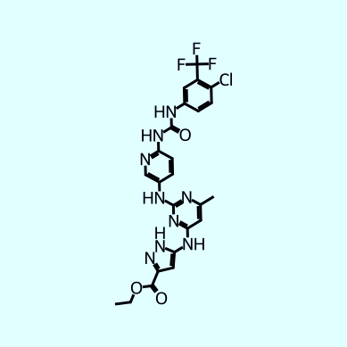 CCOC(=O)c1cc(Nc2cc(C)nc(Nc3ccc(NC(=O)Nc4ccc(Cl)c(C(F)(F)F)c4)nc3)n2)[nH]n1